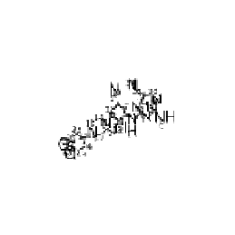 CNc1nc(Nc2cc(C#N)cc(N3CCN(C4CCS(=O)(=O)CC4)C[C@@H]3C)c2Cl)nc2c(C#N)cnn12